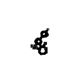 Cc1ccc(-c2ccc(F)cc2)cc1/C1=C(\O)CCCCOC1=O